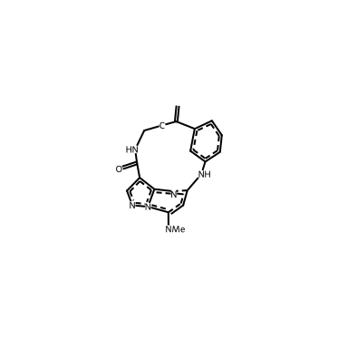 C=C1CCNC(=O)c2cnn3c(NC)cc(nc23)Nc2cccc1c2